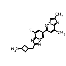 Cc1cn2nc(-c3cc(F)c4nc(CC5CC(N)C5)nn4c3)cc(C)c2n1